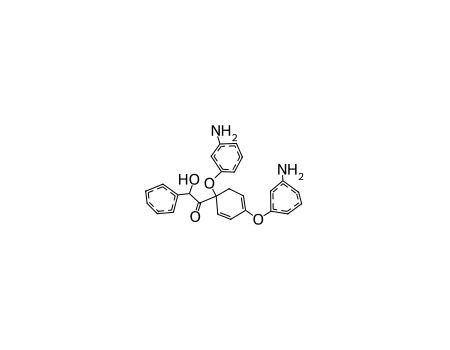 Nc1cccc(OC2=CCC(Oc3cccc(N)c3)(C(=O)C(O)c3ccccc3)C=C2)c1